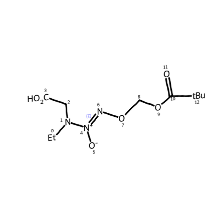 CCN(CC(=O)O)/[N+]([O-])=N/OCOC(=O)C(C)(C)C